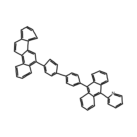 c1ccc(-c2c3ccccc3c(-c3ccc(-c4ccc(-c5cc6c7ccccc7ccc6c6ccccc56)cc4)cc3)c3ccccc23)nc1